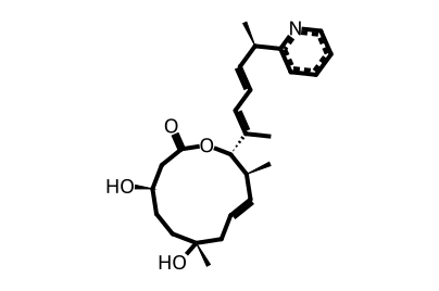 C/C(=C\C=C\[C@@H](C)c1ccccn1)[C@H]1OC(=O)C[C@H](O)CC[C@@](C)(O)C/C=C/[C@@H]1C